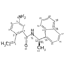 C=Cc1ccc(N)cc1C(=O)N[C@H](C)c1cccc2ccccc12